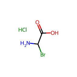 Cl.NC(Br)C(=O)O